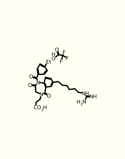 CCc1ccc(C(=O)N2C(=O)CN(CCC(=O)O)C(=O)c3cc(CCCCCCNC(=N)N)ccc32)cc1.O=C(O)C(F)(F)F